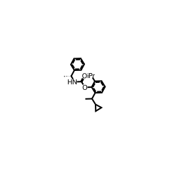 CC(C)c1cccc(C(C)C2CC2)c1OC(=O)N[C@H](C)c1ccccc1